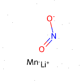 O=N[O-].[Li+].[Mn]